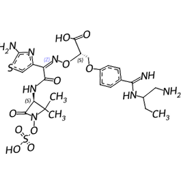 CCC(CN)NC(=N)c1ccc(OC[C@H](O/N=C(\C(=O)N[C@@H]2C(=O)N(OS(=O)(=O)O)C2(C)C)c2csc(N)n2)C(=O)O)cc1